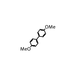 [CH2]Oc1ccc(-c2ccc(OC)cc2)cc1